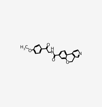 COc1ccc(C(=O)CNC(=O)c2ccc3c(c2)OCc2cnccc2-3)cc1